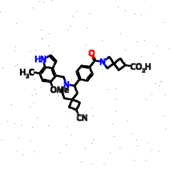 COc1cc(C)c2[nH]ccc2c1CN1CCC2(CC(C#N)C2)CC1c1ccc(C(=O)N2CC3(CC(C(=O)O)C3)C2)cc1